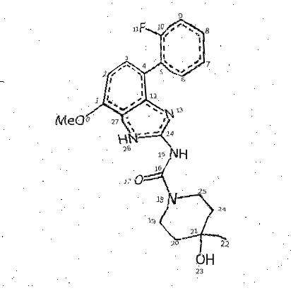 COc1ccc(-c2ccccc2F)c2nc(NC(=O)N3CCC(C)(O)CC3)[nH]c12